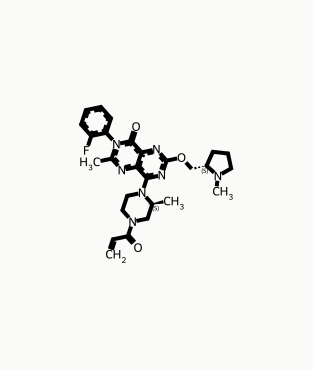 C=CC(=O)N1CCN(c2nc(OC[C@@H]3CCCN3C)nc3c(=O)n(-c4ccccc4F)c(C)nc23)[C@@H](C)C1